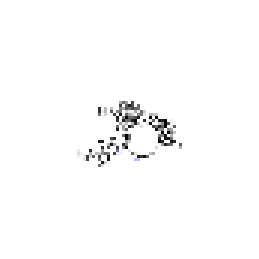 C/C(=C\c1csc(C)n1)[C@@H]1C/C=C\CCC[C@H](C)[C@H](O)[C@@H](C)C(=O)C(C)(C)[C@@H](O[Si](C)(C)C(C)(C)C)CC(=O)N1